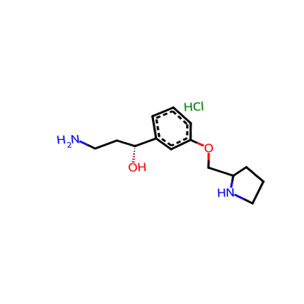 Cl.NCC[C@@H](O)c1cccc(OCC2CCCN2)c1